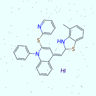 Cc1cccc2c1NC(C=C1C=C(Sc3ccccn3)N(c3ccccc3)c3ccccc31)S2.I